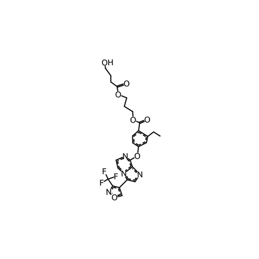 CCc1cc(Oc2nccn3c(-c4conc4C(F)(F)F)cnc23)ccc1C(=O)OCCCOC(=O)CCCO